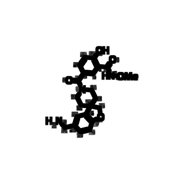 CONC(=O)c1cc(C(=O)N2CCC3(CC2)COc2ccc(CN)cc23)ccc1O